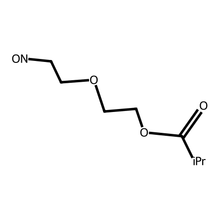 CC(C)C(=O)OCCOCCN=O